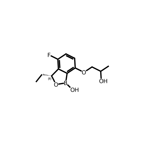 CC[C@H]1OB(O)c2c(OCC(C)O)ccc(F)c21